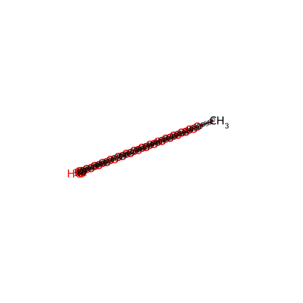 CCCCCCCCCCCCOCCOCCOCCOCCOCCOCCOCCOCCOCCOCCOCCOCCOCCOCCOCCOCCOCCOCCOCCOCCOCCOCCOCCOCCOCCOCCOCCOCCOCCOOS(=O)(=O)O